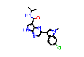 CC(C)NC(=O)c1c[nH]c2ncc(-c3cn(C)c4cc(Cl)ccc34)nc12